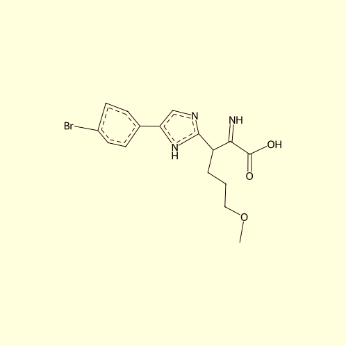 COCCCC(C(=N)C(=O)O)c1ncc(-c2ccc(Br)cc2)[nH]1